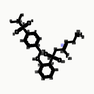 CN(C)S(=O)(=O)c1ccc(COc2ccccc2S(=O)(=O)C/C(F)=C/CN)cc1